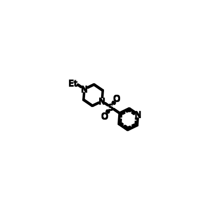 CCN1CCN(S(=O)(=O)c2cccnc2)CC1